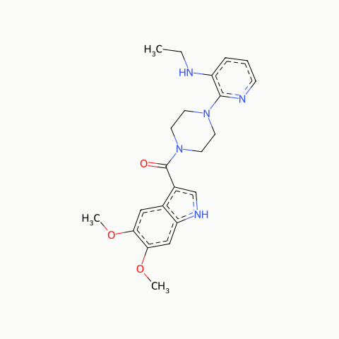 CCNc1cccnc1N1CCN(C(=O)c2c[nH]c3cc(OC)c(OC)cc23)CC1